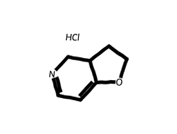 C1=NCC2CCOC2=C1.Cl